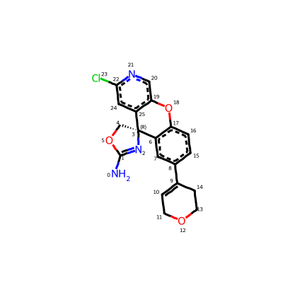 NC1=N[C@]2(CO1)c1cc(C3=CCOCC3)ccc1Oc1cnc(Cl)cc12